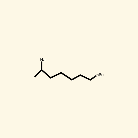 CCCCCCCCC[CH](C)[Na]